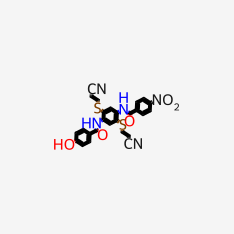 N#CCCSc1cc(NC(=O)c2ccc([N+](=O)[O-])cc2)c(SCCC#N)cc1NC(=O)c1ccc(O)cc1